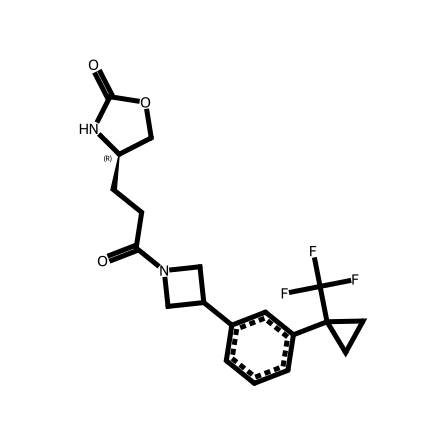 O=C1N[C@H](CCC(=O)N2CC(c3cccc(C4(C(F)(F)F)CC4)c3)C2)CO1